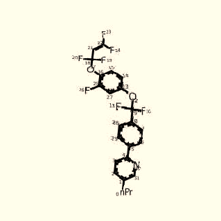 CCCc1ccc(-c2ccc(C(F)(F)Oc3ccc(OC(F)(F)C=C(F)F)c(F)c3)cc2)nc1